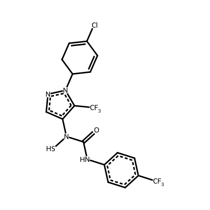 O=C(Nc1ccc(C(F)(F)F)cc1)N(S)c1cnn(C2C=CC(Cl)=CC2)c1C(F)(F)F